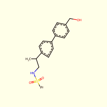 CC(CNS(=O)(=O)C(C)C)c1ccc(-c2ccc(CO)cc2)cc1